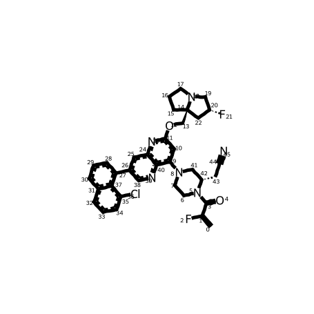 C=C(F)C(=O)N1CCN(c2cc(OC[C@@]34CCCN3C[C@H](F)C4)nc3cc(-c4cccc5cccc(Cl)c45)cnc23)C[C@@H]1CC#N